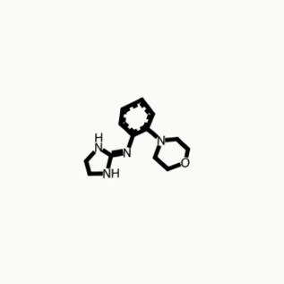 c1ccc(N2CCOCC2)c(N=C2NCCN2)c1